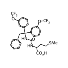 CSCCC(NC(=O)NC(Cc1ccccc1)(c1cccc(OC(F)(F)F)c1)c1cccc(OC(F)(F)F)c1)C(=O)O